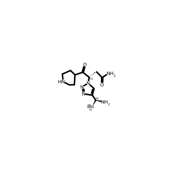 CC[C@H](C)[C@H](N)c1cn([C@@H](CC(N)=O)C(=O)C2CCNCC2)nn1